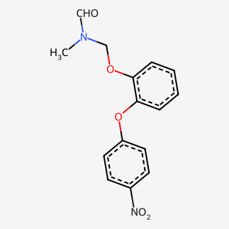 CN(C=O)COc1ccccc1Oc1ccc([N+](=O)[O-])cc1